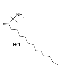 C=C(CCCCCCCCCCCC)C(C)(C)N.Cl